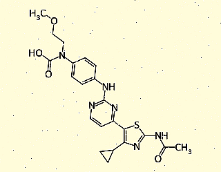 COCCN(C(=O)O)c1ccc(Nc2nccc(-c3sc(NC(C)=O)nc3C3CC3)n2)cc1